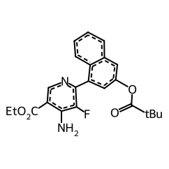 CCOC(=O)c1cnc(-c2cc(OC(=O)C(C)(C)C)cc3ccccc23)c(F)c1N